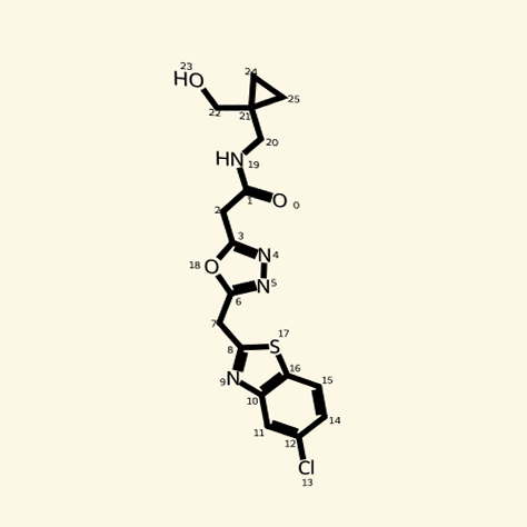 O=C(Cc1nnc(Cc2nc3cc(Cl)ccc3s2)o1)NCC1(CO)CC1